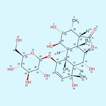 C[C@H]1[C@@H](O)[C@H](O)[C@H]2[C@@]3(C)[C@H](OC(=O)[C@@H]13)[C@H](O)[C@@H]1[C@]2(C)[C@H](O[C@@H]2O[C@H](CO)[C@@H](O)[C@H](O)[C@H]2O)C=C[C@@]1(C)O